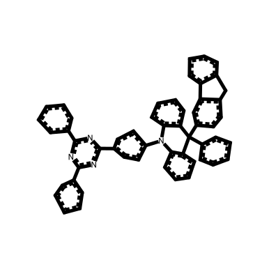 c1ccc(-c2nc(-c3ccccc3)nc(-c3ccc(N4c5ccccc5C(c5ccccc5)(c5ccc6c(c5)-c5ccccc5C6)c5ccccc54)cc3)n2)cc1